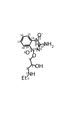 CCNCC(O)CO[N+]1([O-])N=C(N)[NH+]([O-])c2ccccc21